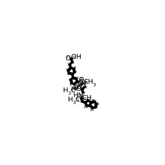 COc1ccc(-c2ccc(CCC(=O)O)cc2)cc1S(=O)(=O)N(C)C[C@H](O)CNC(C)(C)CC1Cc2ccccc2C1